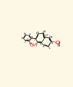 COc1ccc2cc(-c3ccccc3O)ccc2c1